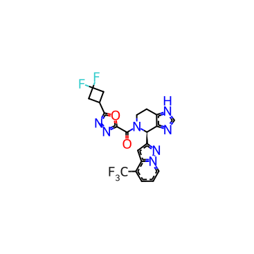 O=C(c1nnc(C2CC(F)(F)C2)o1)N1CCc2[nH]cnc2[C@H]1c1cc2c(C(F)(F)F)cccn2n1